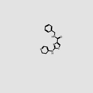 O=C(NCc1ccccc1)c1csc(NC2=CC=NCC2)n1